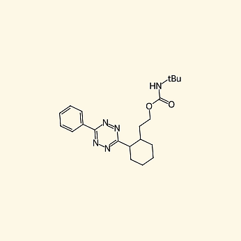 CC(C)(C)NC(=O)OCCC1CCCCC1c1nnc(-c2ccccc2)nn1